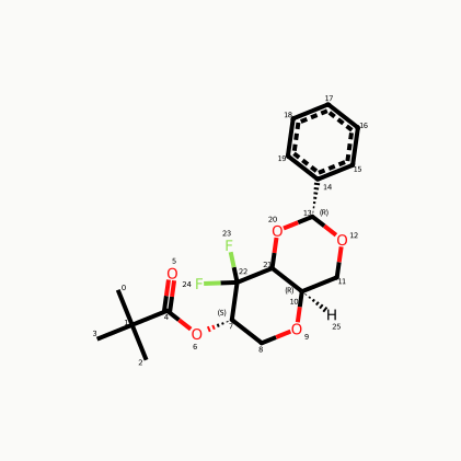 CC(C)(C)C(=O)O[C@H]1CO[C@@H]2CO[C@@H](c3ccccc3)OC2C1(F)F